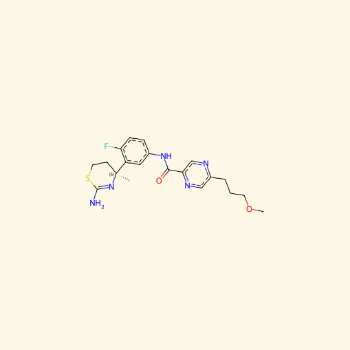 COCCCc1cnc(C(=O)Nc2ccc(F)c([C@]3(C)CCSC(N)=N3)c2)cn1